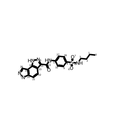 CCCCNS(=O)(=O)c1ccc(NC(=O)c2n[nH]c3c4c(ccc23)[N]N=C4)cc1